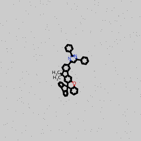 CC1(C)c2ccc(-c3cc(-c4ccccc4)nc(-c4ccccc4)n3)cc2-c2cc3c(cc21)C1(c2ccccc2O3)c2ccccc2-c2ccccc21